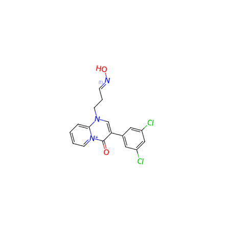 O=c1c(-c2cc(Cl)cc(Cl)c2)cn(CC/C=N/O)c2cccc[n+]12